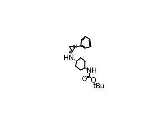 CC(C)(C)OC(=O)N[C@H]1CC[C@H](N[C@@H]2C[C@H]2c2ccccc2)CC1